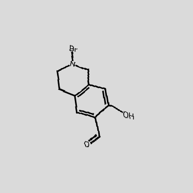 O=Cc1cc2c(cc1O)CN(Br)CC2